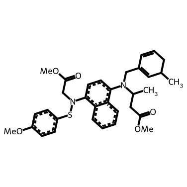 COC(=O)CC(C)N(CC1=CC(C)CC=C1)c1ccc(N(CC(=O)OC)Sc2ccc(OC)cc2)c2ccccc12